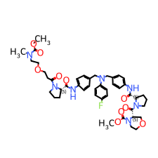 COC(=O)N(C)CCOCCC(=O)N1CCC[C@H]1C(=O)Nc1ccc(CN(Cc2ccc(NC(=O)[C@@H]3CCCN3C(=O)[C@@H]3COCCN3C(=O)OC)cc2)c2ccc(F)cc2)cc1